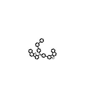 c1ccc(-c2cccc(-c3ccc(N(c4ccc(-c5ccc6oc7ccc8ccccc8c7c6c5)cc4)c4cccc5c4sc4c6ccccc6ccc54)cc3)c2)cc1